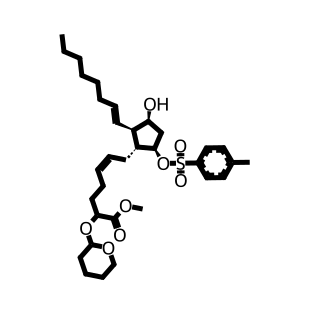 CCCCCC/C=C/[C@@H]1[C@@H](C/C=C\CCC(OC2CCCCO2)C(=O)OC)[C@H](OS(=O)(=O)c2ccc(C)cc2)C[C@@H]1O